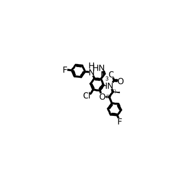 C[C@H](NC(=O)C(F)(F)F)[C@H](Oc1cc(C=N)c(Nc2ccc(F)cc2)cc1Cl)c1ccc(F)cc1